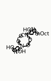 CCCCCCCCOc1ccnc2c(O)c(CN3CCOCCOCCN(Cc4ccc5c(O)ccnc5c4O)CCOCCOCC3)ccc12